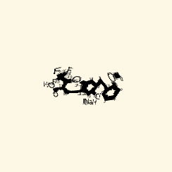 COc1ccccc1Cc1cc2c(cc1Cl)C=C(C(=O)O)C(C(F)(F)F)O2.[NaH]